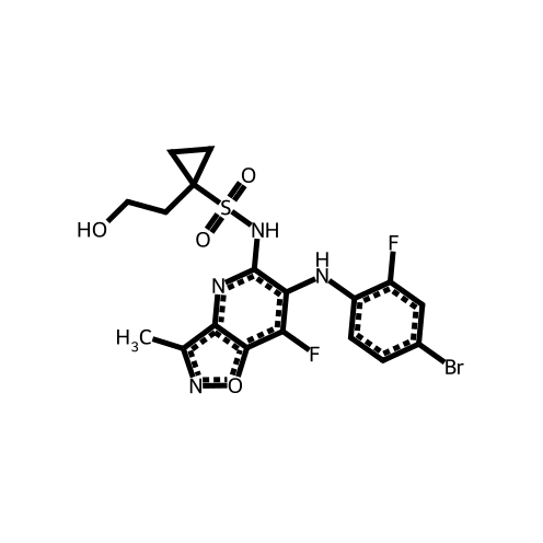 Cc1noc2c(F)c(Nc3ccc(Br)cc3F)c(NS(=O)(=O)C3(CCO)CC3)nc12